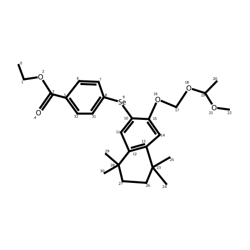 CCOC(=O)c1ccc([Se]c2cc3c(cc2OCOC(C)OC)C(C)(C)CCC3(C)C)cc1